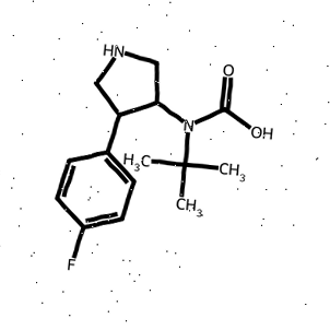 CC(C)(C)N(C(=O)O)C1CNCC1c1ccc(F)cc1